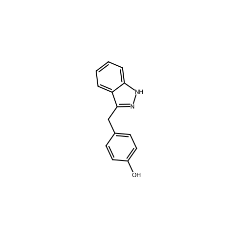 Oc1ccc(Cc2n[nH]c3ccccc23)cc1